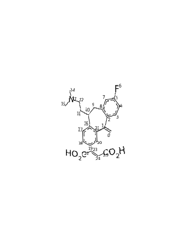 C=C1c2ccc(F)cc2CC(CCN(C)C)c2ccccc21.O=C(O)C=CC(=O)O